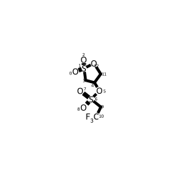 O=S1(=O)CC(OS(=O)(=O)CC(F)(F)F)CO1